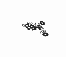 CC12CCC(=O)C=C1CCC1C2[C@@H](O)CC2(C)C1CC[C@]2(OC(=O)Nc1ccccc1)C(=O)CSc1nc2ccccc2s1